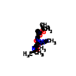 CCCCC(C)C(=O)OCn1c(=O)c(C2CCN(C(=O)NC(Cc3cc(C)c4c(cnn4C(=O)C(C)CCCC)c3)C(=O)N3CCN(C4CCN(C)CC4)CC3)CC2)cc2ccccc21